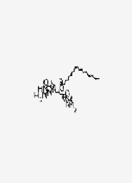 CCCCCCCC/C=C\CCCCCCCC(=O)OC[C@H](CCOC(=O)[C@@H](N)C(C)C)Cn1cnc2c(=O)[nH]c(N)nc21